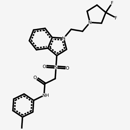 Cc1cccc(NC(=O)CS(=O)(=O)c2cn(CCN3CCC(F)(F)C3)c3ccccc23)c1